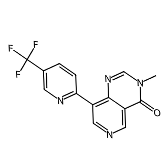 Cn1cnc2c(-c3ccc(C(F)(F)F)cn3)cncc2c1=O